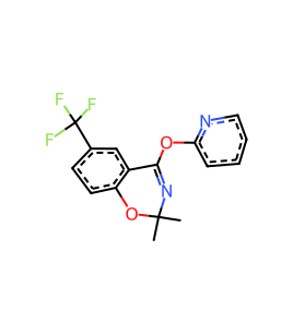 CC1(C)N=C(Oc2ccccn2)c2cc(C(F)(F)F)ccc2O1